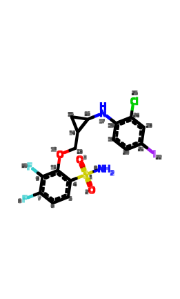 NS(=O)(=O)c1ccc(F)c(F)c1OCC1CC1Nc1ccc(I)cc1Cl